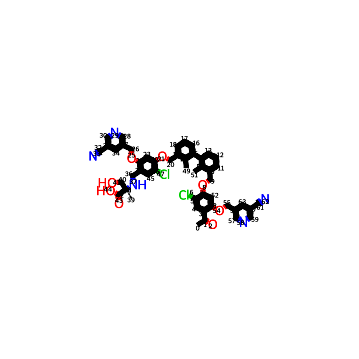 CC(=O)c1cc(Cl)c(OCc2cccc(-c3cccc(COc4cc(OCc5cncc(C#N)c5)c(CN[C@](C)(CO)C(=O)O)cc4Cl)c3C)c2C)cc1OCc1cncc(C#N)c1